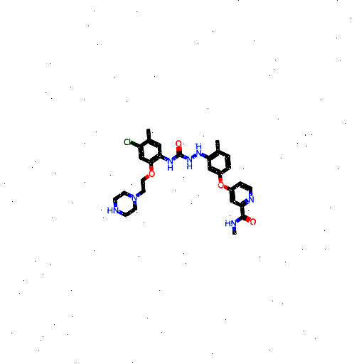 CNC(=O)c1cc(Oc2ccc(C)c(NNC(=O)Nc3cc(C)c(Cl)cc3OCCN3CCNCC3)c2)ccn1